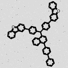 c1ccc(-c2ccc(-c3ccc(C(c4ccc(-c5ccc6oc7ccccc7c6c5)cc4)c4ccc(-c5ccc6oc7ccccc7c6c5)cc4)c4ccccc34)cc2)cc1